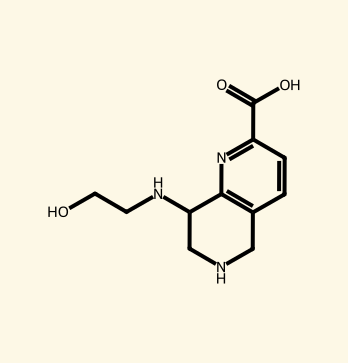 O=C(O)c1ccc2c(n1)C(NCCO)CNC2